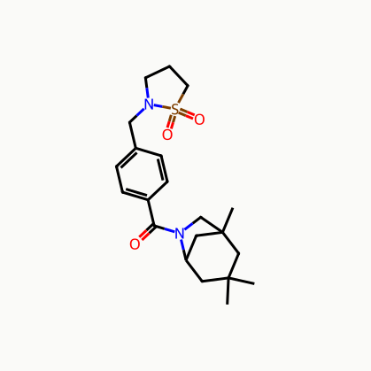 CC1(C)CC2CC(C)(CN2C(=O)c2ccc(CN3CCCS3(=O)=O)cc2)C1